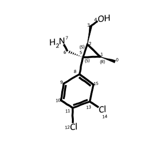 C[C@@H]1[C@H](CO)[C@]1(CN)c1ccc(Cl)c(Cl)c1